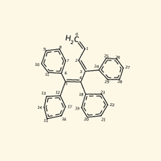 C=C/C=C(/C(=C(c1ccccc1)c1ccccc1)c1ccccc1)c1ccccc1